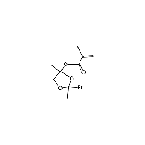 C=C(C)C(=O)OC1(C)COC(C)(CC)O1